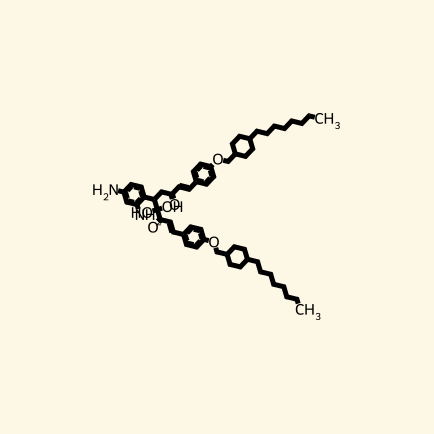 CCCCCCCCC1CCC(COc2ccc(/C=C/C(=O)CC(c3ccc(N)cc3N)C(O)(O)C(=O)/C=C/c3ccc(OCC4CCC(CCCCCCCC)CC4)cc3)cc2)CC1